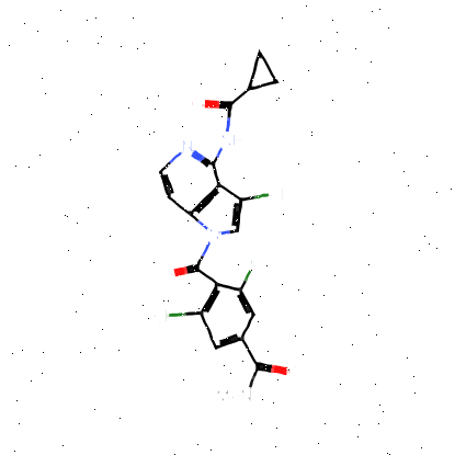 CNC(=O)c1cc(Cl)c(C(=O)n2cc(Cl)c3c(NC(=O)C4CC4)nccc32)c(Cl)c1